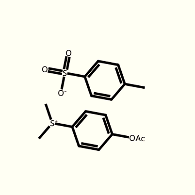 CC(=O)Oc1ccc([S+](C)C)cc1.Cc1ccc(S(=O)(=O)[O-])cc1